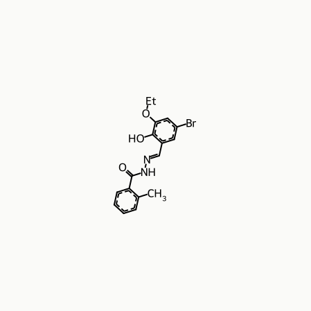 CCOc1cc(Br)cc(C=NNC(=O)c2ccccc2C)c1O